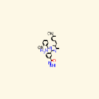 C=C(/N=C(\N=C(/N)c1cc#ccc1N=O)c1cccc(C(=O)N=N)c1)C(C)/C=C\C=C/C(C)N=O